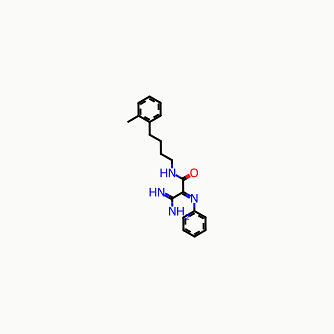 Cc1ccccc1CCCCNC(=O)/C(=N/c1ccccc1)C(=N)N